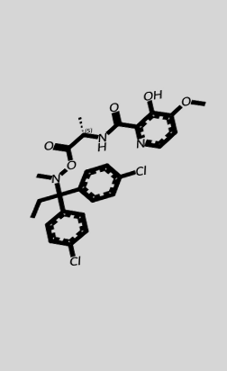 CCC(c1ccc(Cl)cc1)(c1ccc(Cl)cc1)N(C)OC(=O)[C@H](C)NC(=O)c1nccc(OC)c1O